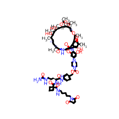 CO[C@H]1/C=C/O[C@@]2(C)Oc3c(C)c(O)c4c(=O)c(c5oc6cc(N7CCN(C(=O)OCc8ccc(NC(=O)[C@H](CCCNC(N)=O)NC(=O)C9(C(=O)NCCCCCN%10C(=O)C=CC%10=O)CCC9)cc8)CC7)cc(O)c6nc-5c4c3C2=O)NC(=O)/C(C)=C\C=C\[C@H](C)[C@H](O)[C@@H](C)[C@@H](O)[C@@H](C)[C@H](OC(C)=O)[C@@H]1C